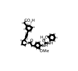 COc1cc(CC(=O)N2CCCC2C#Cc2cccc(CC(=O)O)c2)ccc1NC(=O)Nc1ccccc1C